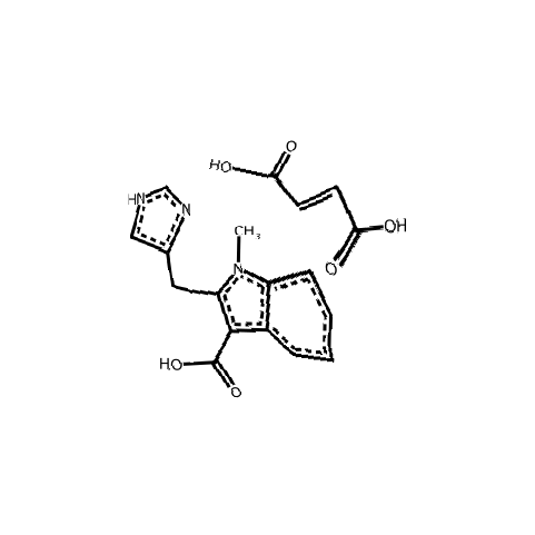 Cn1c(Cc2c[nH]cn2)c(C(=O)O)c2ccccc21.O=C(O)C=CC(=O)O